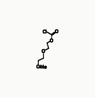 COCCOCCOC(=O)Cl